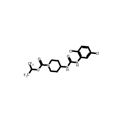 O=C(Nc1cc(Cl)ccc1Cl)NC1CCN(C(=O)OC(C(F)(F)F)C(F)(F)F)CC1